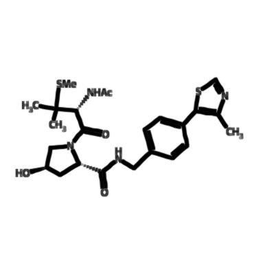 CSC(C)(C)[C@H](NC(C)=O)C(=O)N1C[C@H](O)C[C@H]1C(=O)NCc1ccc(-c2scnc2C)cc1